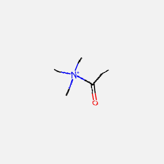 CC(=O)[N+](C)(C)C